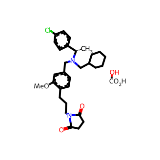 COc1cc(CN(CC2CCCCC2)[C@@H](C)c2ccc(Cl)cc2)ccc1CCCN1C(=O)CCC1=O.O=C(O)O